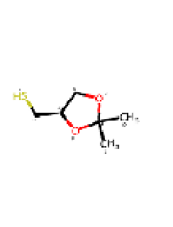 CC1(C)OC[C@H](CS)O1